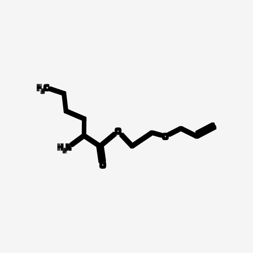 C=CCOCCOC(=O)C(N)CCCC(F)(F)F